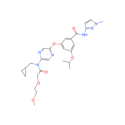 COCCOCC(=O)N(CC1CC1)c1cnc(Oc2cc(OC(C)C)cc(C(=O)Nc3ccn(C)n3)c2)cn1